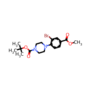 COC(=O)c1ccc(N2CCN(C(=O)OC(C)(C)C)CC2)c(Br)c1